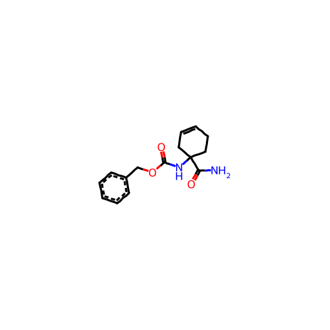 NC(=O)C1(NC(=O)OCc2ccccc2)CC=CCC1